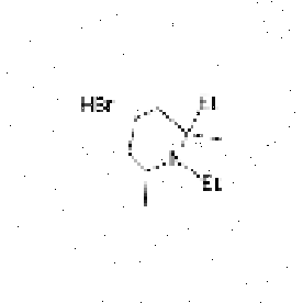 Br.CCN1C(C)CCCC1(C)CC